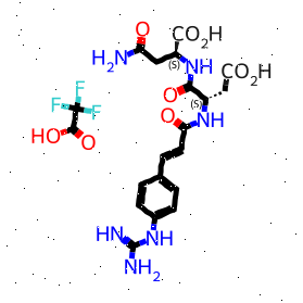 N=C(N)Nc1ccc(C=CC(=O)N[C@@H](CC(=O)O)C(=O)N[C@@H](CC(N)=O)C(=O)O)cc1.O=C(O)C(F)(F)F